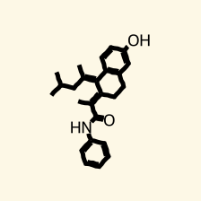 C/C(CC(C)C)=C1/C(=C(\C)C(=O)Nc2ccccc2)CCc2cc(O)ccc21